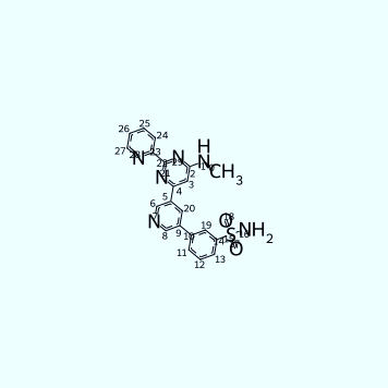 CNc1cc(-c2cncc(-c3cccc(S(N)(=O)=O)c3)c2)nc(-c2ccccn2)n1